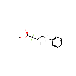 CC(C)OC(=O)C(F)(F)CC[Si](C)(C)c1ccccc1